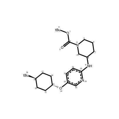 CC(C)(C)OC(=O)N1CCCC(Nc2ccc(O[C@H]3CC[C@H](C(C)(C)C)CC3)cn2)C1